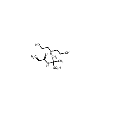 C=CC(=O)NC(C)(C)S(=O)(=O)O.OCCNCCO